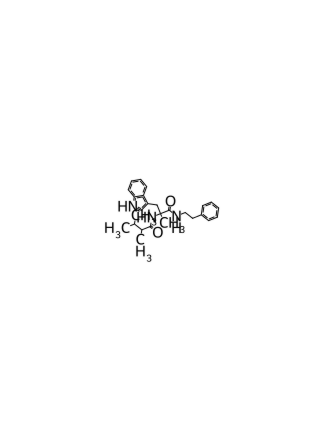 CC(C)C(C)C(=O)NC(C)(Cc1c[nH]c2ccccc12)C(=O)NCCc1ccccc1